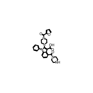 O=C(O)c1c(N2CCN(C(=O)c3ccco3)CC2)n(-c2ccccc2)c2cccc(C(=O)N3CCNCC3)c12